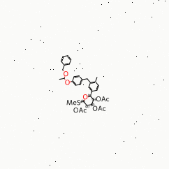 CS[C@H]1O[C@@H](c2ccc(C)c(Cc3ccc(OC(C)OCc4ccccc4)cc3)c2)[C@H](OC(C)=O)[C@@H](OC(C)=O)[C@@H]1OC(C)=O